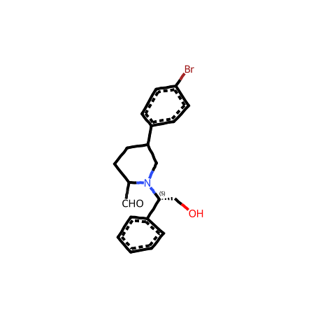 O=CC1CCC(c2ccc(Br)cc2)CN1[C@H](CO)c1ccccc1